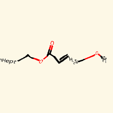 CCCCCCCCOC(=O)C=C[SiH2]OC(C)C